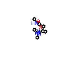 c1ccc(-c2nc(-c3ccccc3)nc(-c3cc(-c4cccc5c4oc4cc6c(cc45)OC(c4ccccc4)N6)c4ccccc4c3)n2)cc1